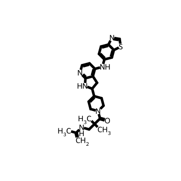 C=C(C)NCC(C)(C)C(=O)N1CC=C(C2Cc3c(Nc4ccc5ncsc5c4)ccnc3N2)CC1